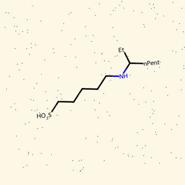 CCCCCC(CC)NCCCCCS(=O)(=O)O